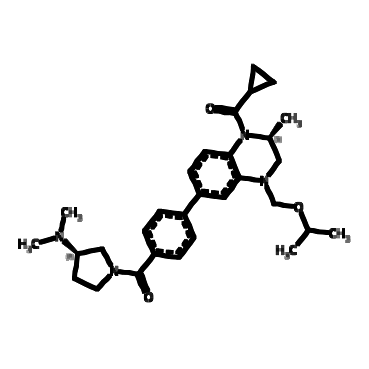 CC(C)OCN1C[C@H](C)N(C(=O)C2CC2)c2ccc(-c3ccc(C(=O)N4CC[C@@H](N(C)C)C4)cc3)cc21